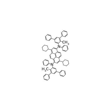 Cc1c(-c2ccccc2)cc(-c2ccccc2)cc1N(c1ccccc1)c1cc(C2CCCCC2)c2ccc3c(N(c4ccccc4)c4cc(-c5ccccc5)cc(-c5ccccc5)c4C)cc(C4CCCCC4)c4ccc1c2c43